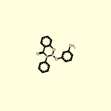 Cc1cccc(OP2Oc3ccccc3C(=O)N2c2ccccc2)c1